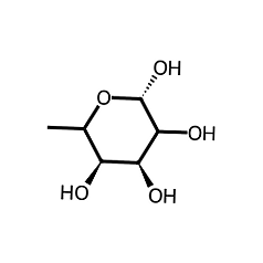 CC1O[C@H](O)C(O)[C@@H](O)[C@H]1O